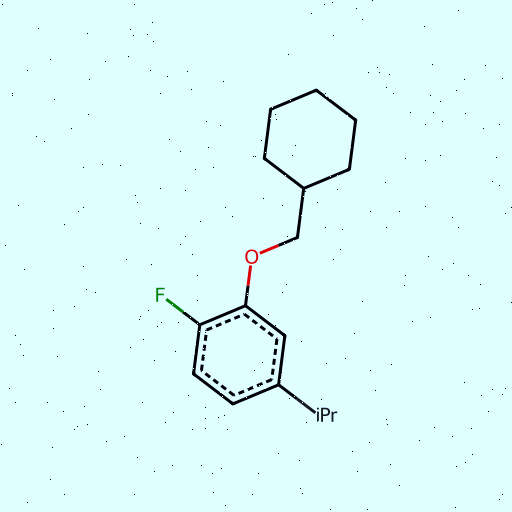 CC(C)c1ccc(F)c(OCC2CCCCC2)c1